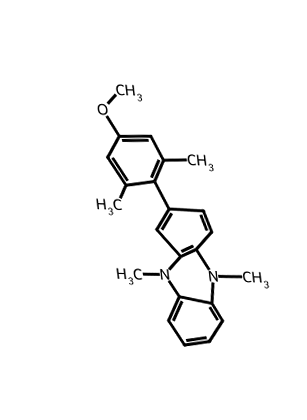 COc1cc(C)c(-c2ccc3c(c2)N(C)c2ccccc2N3C)c(C)c1